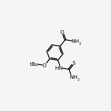 CC(C)(C)Oc1ccc(C(N)=O)cc1NC(N)=S